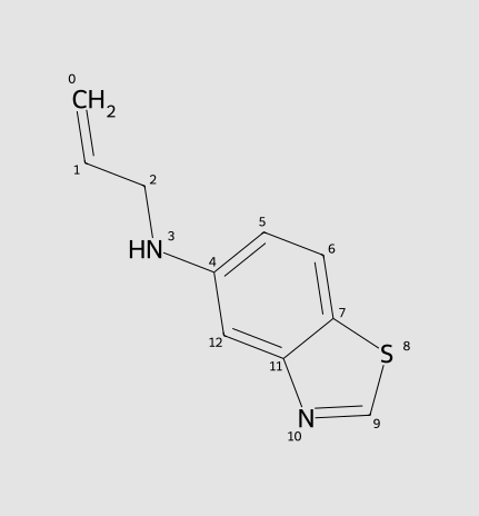 C=CCNc1ccc2scnc2c1